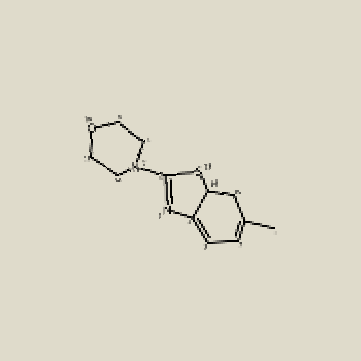 CC1=CC=C2N=C(N3CCOCC3)SC2C1